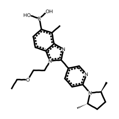 CCOCCn1c(-c2ccc(N3[C@@H](C)CC[C@@H]3C)nc2)nc2c(C)c(B(O)O)ccc21